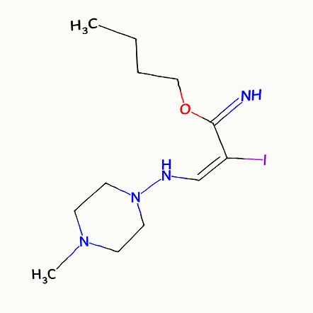 CCCCOC(=N)/C(I)=C\NN1CCN(C)CC1